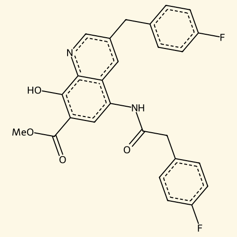 COC(=O)c1cc(NC(=O)Cc2ccc(F)cc2)c2cc(Cc3ccc(F)cc3)cnc2c1O